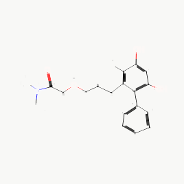 CCc1c(O)cc(O)c(-c2ccccc2)c1CCCOCC(=O)N(C)C